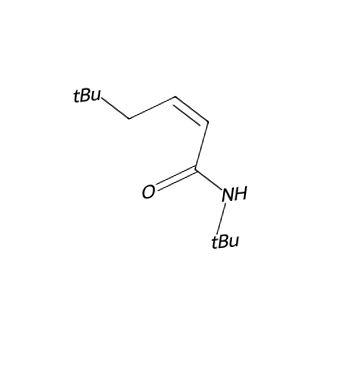 CC(C)(C)C/C=C\C(=O)NC(C)(C)C